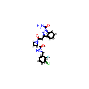 NC(=O)n1nc(CC(=O)N2CC[C@H]2C(=O)NCc2cccc(Cl)c2F)c2ccccc21